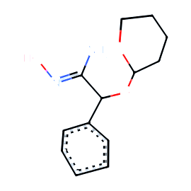 N/C(=N\O)C(OC1CCCCO1)c1ccccc1